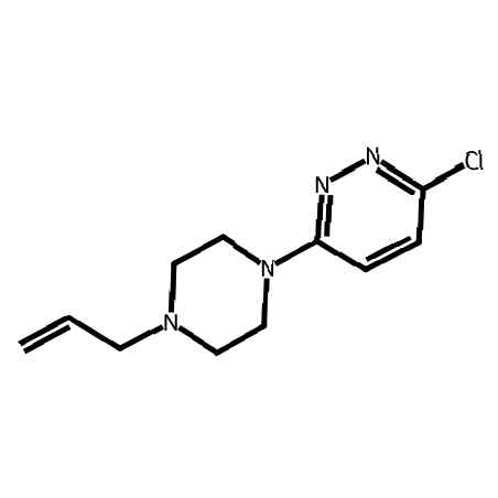 C=CCN1CCN(c2ccc(Cl)nn2)CC1